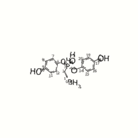 B.C=C[PH](O)(Oc1ccc(O)cc1)Oc1ccc(O)cc1